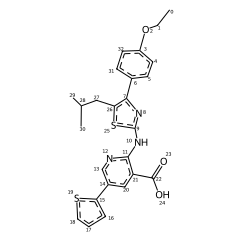 CCOc1ccc(-c2nc(Nc3ncc(-c4cccs4)cc3C(=O)O)sc2CC(C)C)cc1